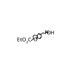 CCOC(=O)CC1CCc2cc(CC=NO)ccc2O1